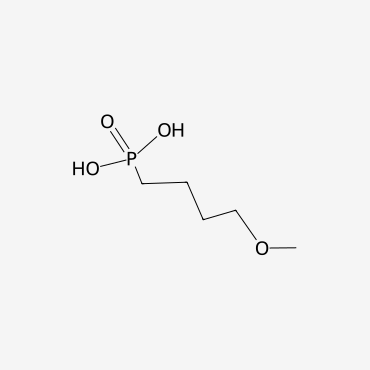 COCCCCP(=O)(O)O